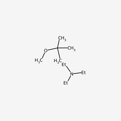 CCN(CC)CC.COC(C)(C)C